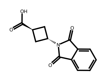 O=C1c2ccccc2C(=O)N1[C@H]1C[C@H](C(=O)O)C1